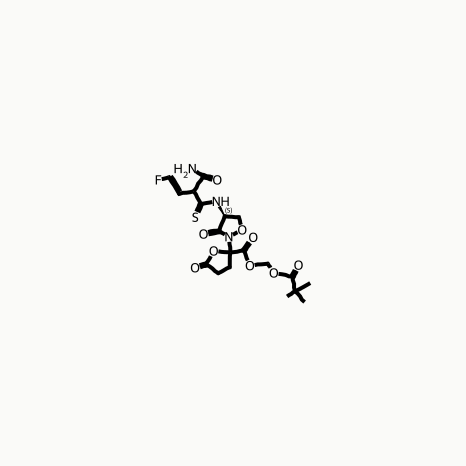 CC(C)(C)C(=O)OCOC(=O)C1(N2OC[C@H](NC(=S)C(C=CF)C(N)=O)C2=O)CCC(=O)O1